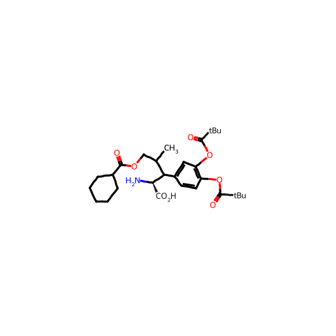 CC(COC(=O)C1CCCCC1)C(c1ccc(OC(=O)C(C)(C)C)c(OC(=O)C(C)(C)C)c1)[C@H](N)C(=O)O